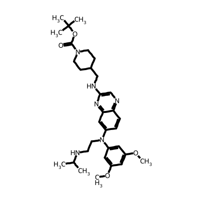 COc1cc(OC)cc(N(CCNC(C)C)c2ccc3ncc(NCC4CCN(C(=O)OC(C)(C)C)CC4)nc3c2)c1